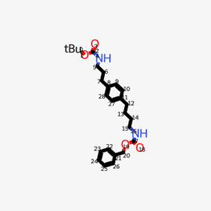 CC(C)(C)OC(=O)NCCCc1ccc(CCCCNC(=O)OCc2ccccc2)cc1